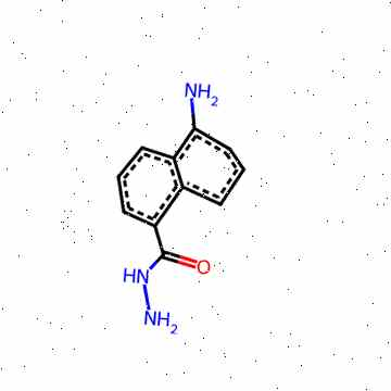 NNC(=O)c1cccc2c(N)cccc12